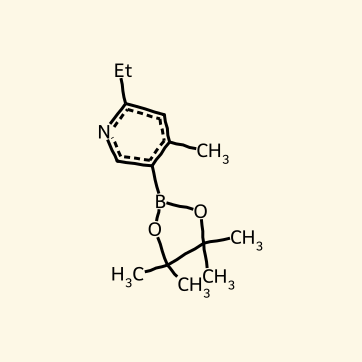 CCc1cc(C)c(B2OC(C)(C)C(C)(C)O2)cn1